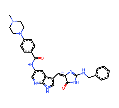 CN1CCN(c2ccc(C(=O)Nc3cnc4[nH]cc(/C=C5/N=C(NCc6ccccc6)NC5=O)c4c3)cc2)CC1